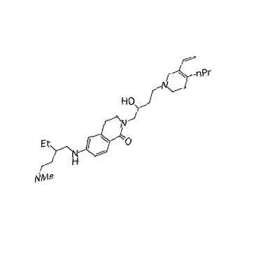 C=CC1=C(CCC)CCN(CCC(O)CN2CCc3cc(NCC(CC)CCNC)ccc3C2=O)C1